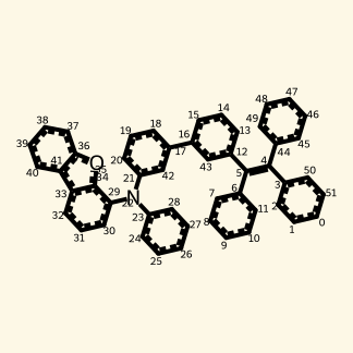 c1ccc(C(=C(c2ccccc2)c2cccc(-c3cccc(N(c4ccccc4)c4cccc5c4oc4ccccc45)c3)c2)c2ccccc2)cc1